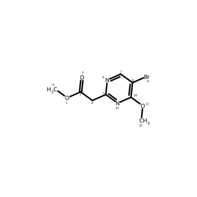 COC(=O)Cc1ncc(Br)c(OC)n1